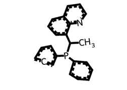 CC(c1cccc2cccnc12)P(c1ccccc1)c1ccccc1